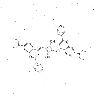 CCN(CC)c1ccc2c(c1)OC(C1CC3C=CC1C3)=C/C2=C\C1=C(O)C(/C=C2\C=C(C3CC4C=CC3C4)Oc3cc(N(CC)CC)ccc32)C1O